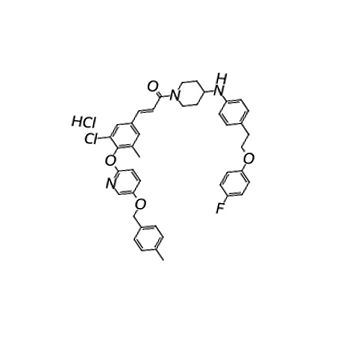 Cc1ccc(COc2ccc(Oc3c(C)cc(C=CC(=O)N4CCC(Nc5ccc(CCOc6ccc(F)cc6)cc5)CC4)cc3Cl)nc2)cc1.Cl